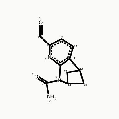 NC(=O)N1c2nc(C=O)ccc2C2CC1C2